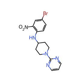 O=[N+]([O-])c1cc(Br)ccc1NC1CCN(c2ncccn2)CC1